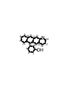 Oc1ccccc1.c1ccc2cc3cc4ncccc4cc3cc2c1